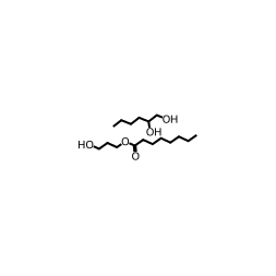 CCCCC(O)CO.CCCCCCCC(=O)OCCCO